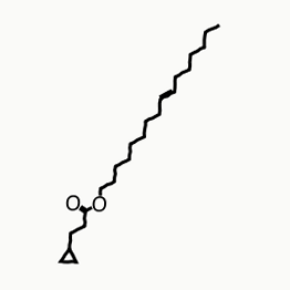 CCCCCCC=CCCCCCCCCOC(=O)CCC1CC1